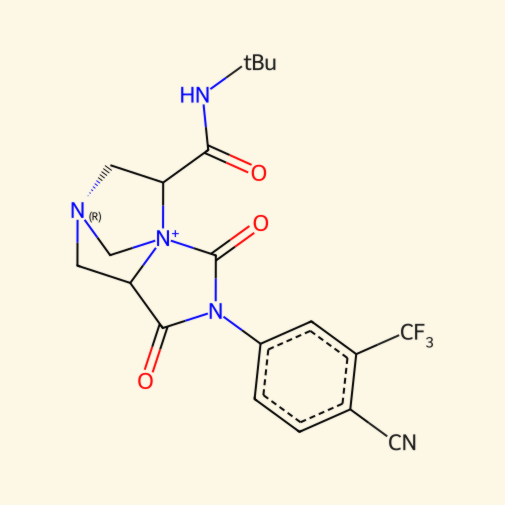 CC(C)(C)NC(=O)C1C[N@@]2CC3C(=O)N(c4ccc(C#N)c(C(F)(F)F)c4)C(=O)[N+]13C2